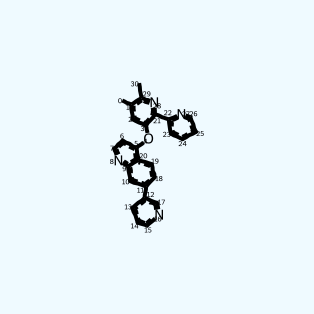 Cc1cc(Oc2ccnc3cc(-c4cccnc4)ccc23)c(-c2ccccn2)nc1C